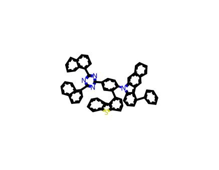 c1ccc(-c2cccc3c2c2cc4ccccc4cc2n3-c2ccc(-c3nc(-c4cccc5ccccc45)nc(-c4cccc5ccccc45)n3)cc2-c2cccc3sc4ccccc4c23)cc1